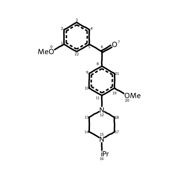 COc1cccc(C(=O)c2ccc(N3CCN(C(C)C)CC3)c(OC)c2)c1